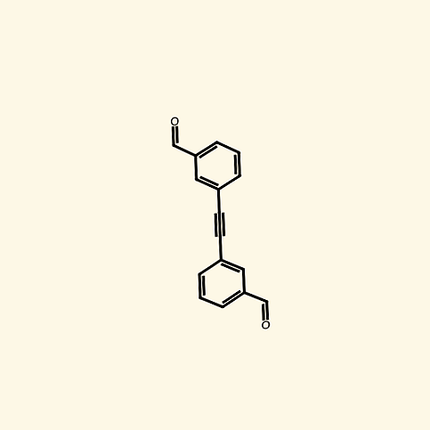 O=Cc1cccc(C#Cc2cccc(C=O)c2)c1